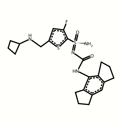 N[S@](=O)(=NC(=O)Nc1c2c(cc3c1CCC3)CCC2)c1sc(CNC2CCC2)cc1F